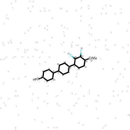 CCCC1CCC(C2CCC(C3CCC(OC)C(F)C3F)CC2)CC1